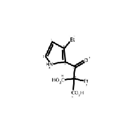 CCc1cc[nH]c1C(=O)C(CC)(C(=O)O)C(=O)O